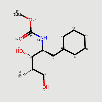 CC(C)[C@@H](CO)[C@H](O)[C@H](CC1CCCCC1)NC(=O)OC(C)(C)C